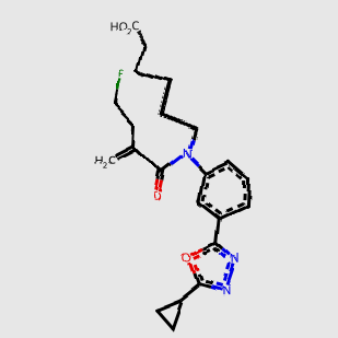 C=C(CCF)C(=O)N(CCCCCC(=O)O)c1cccc(-c2nnc(C3CC3)o2)c1